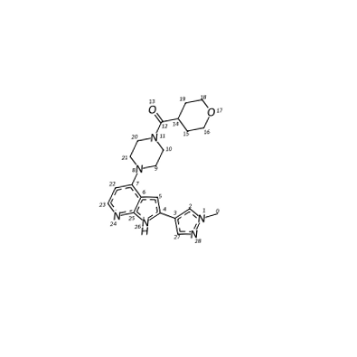 Cn1cc(-c2cc3c(N4CCN(C(=O)C5CCOCC5)CC4)ccnc3[nH]2)cn1